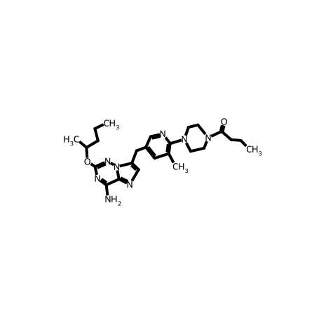 CCCC(=O)N1CCN(c2ncc(Cc3cnc4c(N)nc(OC(C)CCC)nn34)cc2C)CC1